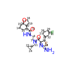 Nc1nc(C(=O)N(CCNC(=O)c2cccc3occc23)CC2CC2)c(-c2cccc(F)c2)s1